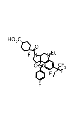 CCN1CC2N(C(=O)[C@]3(F)CC[C@@H](C(=O)O)CC3)CCC2(S(=O)(=O)c2ccc(F)cc2)c2ccc(C(F)(C(F)(F)F)C(F)(F)F)cc21